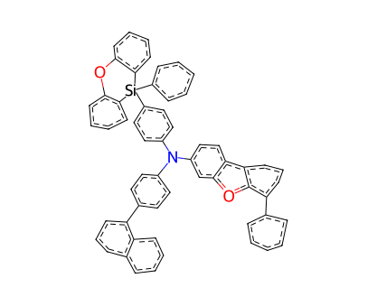 c1ccc(-c2cccc3c2oc2cc(N(c4ccc(-c5cccc6ccccc56)cc4)c4ccc([Si]5(c6ccccc6)c6ccccc6Oc6ccccc65)cc4)ccc23)cc1